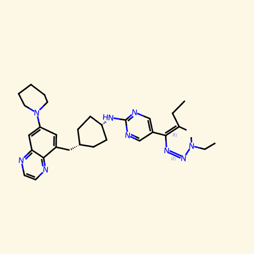 CC/C(C)=C(/N=N\N(C)CC)c1cnc(N[C@H]2CC[C@@H](Cc3cc(N4CCCCC4)cc4nccnc34)CC2)nc1